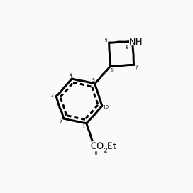 CCOC(=O)c1cccc(C2CNC2)c1